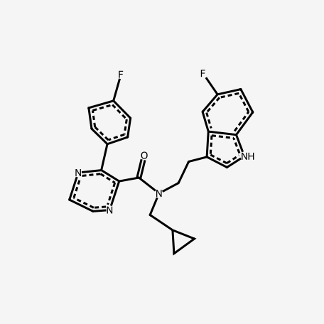 O=C(c1nccnc1-c1ccc(F)cc1)N(CCc1c[nH]c2ccc(F)cc12)CC1CC1